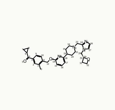 Cc1cc(C(=O)C2CC2)ccc1COc1cccc(C2CCN(Cc3nccn3C[C@@H]3CCO3)CC2)n1